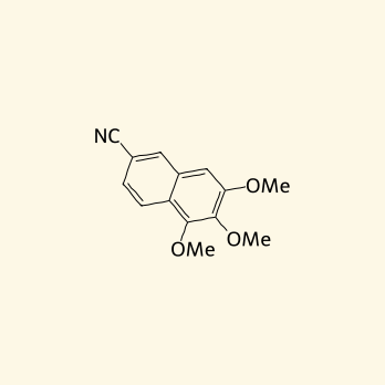 COc1cc2cc(C#N)ccc2c(OC)c1OC